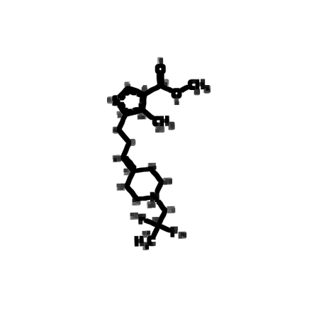 COC(=O)c1csc(CCC=C2CCN(CC(C)(F)F)CC2)c1C